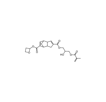 C=C(C)C(=O)OCC(O)COC(=O)C1=CC2C3C=C(C(=O)OC4CCO4)C(C3)C2C1